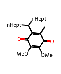 CCCCCCCC(CCCCCCC)C1=C(C)C(=O)C(OC)=C(OC)C1=O